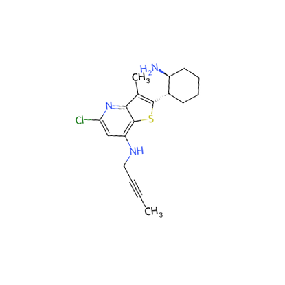 CC#CCNc1cc(Cl)nc2c(C)c([C@H]3CCCC[C@@H]3N)sc12